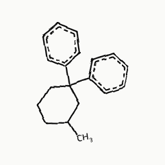 CC1CCCC(c2ccccc2)(c2ccccc2)C1